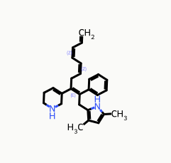 C=C/C=C\C=C/C/C(C1=CCCNC1)=C(/Cc1[nH]c(C)cc1C)c1ccccc1